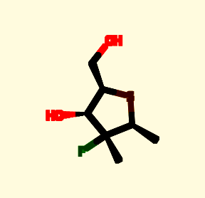 C[C@@H]1S[C@H](CO)[C@@H](O)[C@@]1(C)F